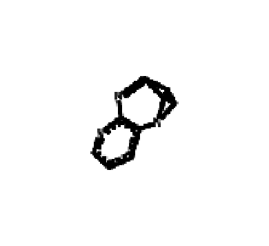 C1=CN2CC1=Nc1ncccc12